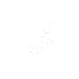 CC(C)NC(=O)C(C)NC(=O)c1ccc(C2=NOC(c3cc(C(F)(F)F)cc(C(F)(F)F)c3)(C(F)(F)F)C2)c2ccccc12